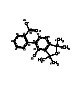 CC1(C)OC(C)(C)c2c1nnc(-c1ccccc1[N+](=O)[O-])[n+]2[O-]